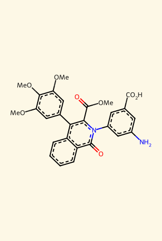 COC(=O)c1c(-c2cc(OC)c(OC)c(OC)c2)c2ccccc2c(=O)n1-c1cc(N)cc(C(=O)O)c1